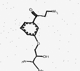 CCCC(CCC)C(O)COc1cccc(C(=O)CCN)c1